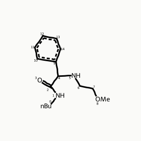 CCCCNC(=O)C(NCCOC)c1ccccc1